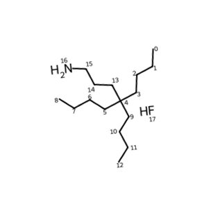 CCCCC(CCCC)(CCCC)CCCN.F